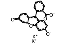 O=C([O-])c1ccccc1-c1c2ccc(=O)cc-2oc2cc([O-])ccc12.[K+].[K+]